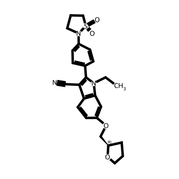 CCn1c(-c2ccc(N3CCCS3(=O)=O)cc2)c(C#N)c2ccc(OC[C@H]3CCCO3)cc21